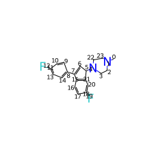 CN1CCN(C2C=C(c3ccc(F)cc3)c3ccc(F)cc32)CC1